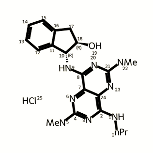 CCCNc1nc(NC)nc2c(N[C@@H]3c4ccccc4C[C@H]3O)nc(NC)nc12.Cl